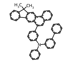 CC1(C)c2ccccc2-c2cc3c(-c4cccc(N(c5ccccc5)c5cccc(-c6ccccc6)c5)c4)cc4ccccc4c3cc21